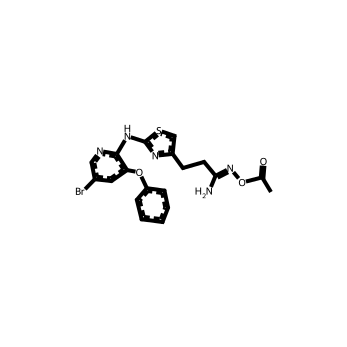 CC(=O)O/N=C(\N)CCc1csc(Nc2ncc(Br)cc2Oc2ccccc2)n1